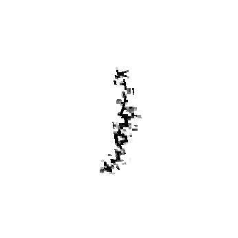 CC(C)(C)OC(=O)NCCCn1cc(C(=O)Nc2ccc(OCC(O)C(=O)OC(C)(C)C)cc2)cn1